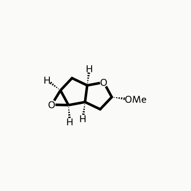 CO[C@@H]1C[C@H]2[C@H]3O[C@H]3C[C@H]2O1